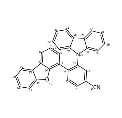 N#Cc1ccc(-c2cccc3c2oc2ccccc23)c(-n2c3ccccc3c3ccccc32)c1